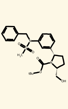 CC(C)(C)OC(=O)N1[C@@H](CO)CC[C@H]1c1cccc(N(Cc2ccccc2)S(C)(=O)=O)c1